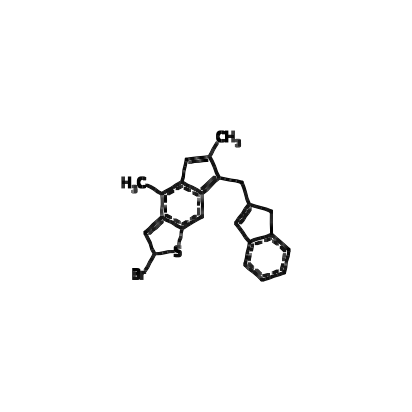 CC1=Cc2c(C)c3c(cc2=C1CC1=Cc2ccccc2C1)SC(Br)C=3